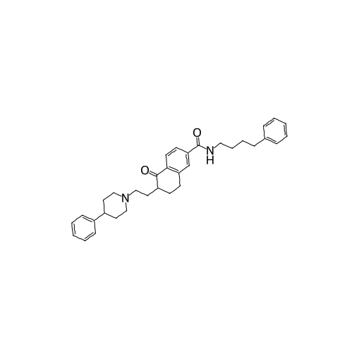 O=C(NCCCCc1ccccc1)c1ccc2c(c1)CCC(CCN1CCC(c3ccccc3)CC1)C2=O